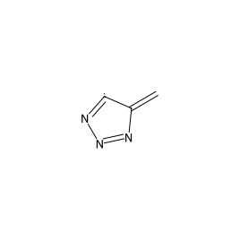 C=C1[C]=NN=N1